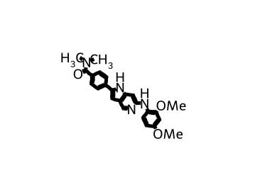 COc1ccc(Nc2cc3[nH]c(-c4ccc(C(=O)N(C)C)cc4)cc3cn2)c(OC)c1